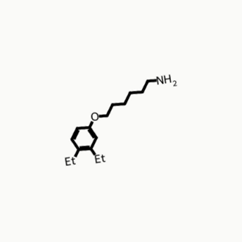 CCc1ccc(OCCCCCCN)cc1CC